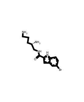 NCCC[C@H](N)CNC(=O)c1cc2cc(Br)ccc2[nH]1